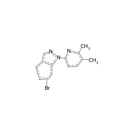 Cc1ccc(-n2ncc3ccc(Br)cc32)nc1C